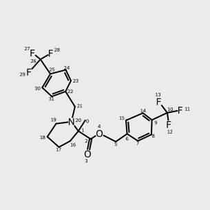 CC1(C(=O)OCc2ccc(C(F)(F)F)cc2)CCCCN1Cc1ccc(C(F)(F)F)cc1